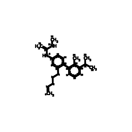 C=CCCCc1cc(NC(=C)NC)ccc1-c1cccc(C(C)C)c1C